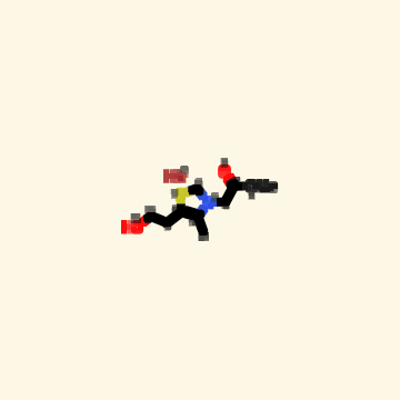 Br.COC(=O)CN1CSC(CCO)=C1C